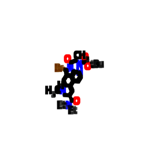 CCN(CC)C(=O)[C@@H]1C=C2c3cccc4c3c(c(Br)n4C(=O)[C@@H](C)NC(=O)OC(C)(C)C)C[C@H]2N(C)C1